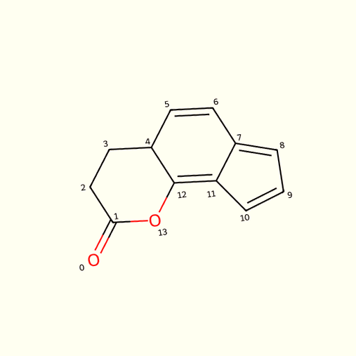 O=C1CCC2C=CC3=CC=CC3=C2O1